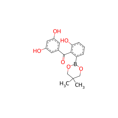 CC1(C)COB(c2cccc(O)c2C(=O)c2cc(O)cc(O)c2)OC1